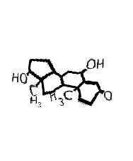 C[C@]12CCC(=O)C=C1C(O)CC1C2CC[C@@]2(C)C1CC[C@@H]2O